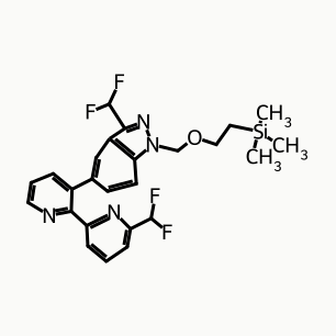 C[Si](C)(C)CCOCn1nc(C(F)F)c2cc(-c3cccnc3-c3cccc(C(F)F)n3)ccc21